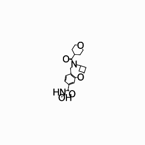 O=C(NO)c1ccc2c(c1)OC1CC(C1)N(C(=O)C1CCOCC1)C2